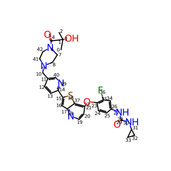 CC(C)(O)C(=O)N1CCN(Cc2ccc(-c3cc4nccc(Oc5ccc(NC(=O)NC6CC6)cc5F)c4s3)nc2)CC1